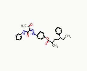 CCC(CCC(C)C(=O)Oc1ccc(N/N=C(/C(C)=O)C(=O)Nc2ccccc2)cc1)c1ccccc1